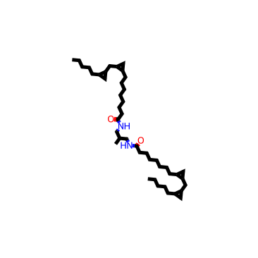 CCCCCC1CC1CC1CC1CCCCCCCC(=O)NCC(C)CNC(=O)CCCCCCCC1CC1CC1CC1CCCCC